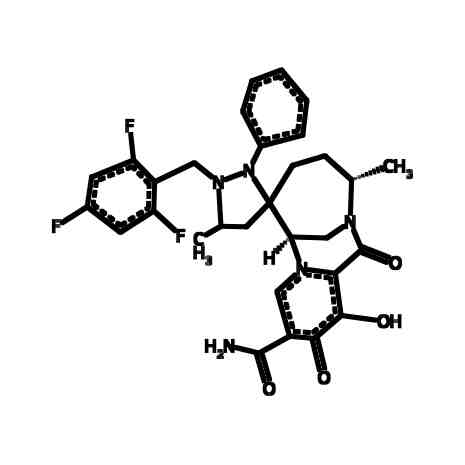 CC1CC2(CC[C@H](C)N3C[C@H]2n2cc(C(N)=O)c(=O)c(O)c2C3=O)N(c2ccccc2)N1Cc1c(F)cc(F)cc1F